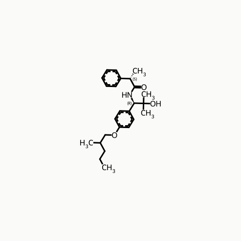 CCCC(C)COc1ccc([C@@H](NC(=O)[C@@H](C)c2ccccc2)C(C)(C)O)cc1